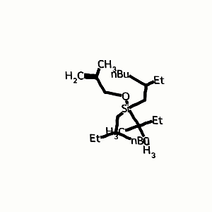 C=C(C)CO[Si](CC(CC)CCCC)(CC(CC)CCCC)C(C)(C)CC